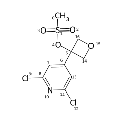 CS(=O)(=O)OC1(c2cc(Cl)nc(Cl)c2)COC1